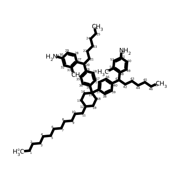 CCCCCCCCCCCCC1CCC(c2ccc(C(CCCCCC)c3ccc(N)cc3C)cc2)(c2ccc(C(CCCCCC)c3ccc(N)cc3C)cc2)CC1